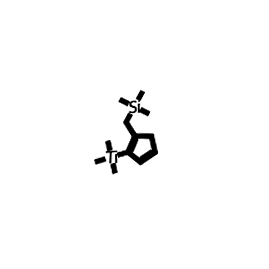 C[Si](C)(C)CC1=[C]([Ti]([CH3])([CH3])[CH3])C=CC1